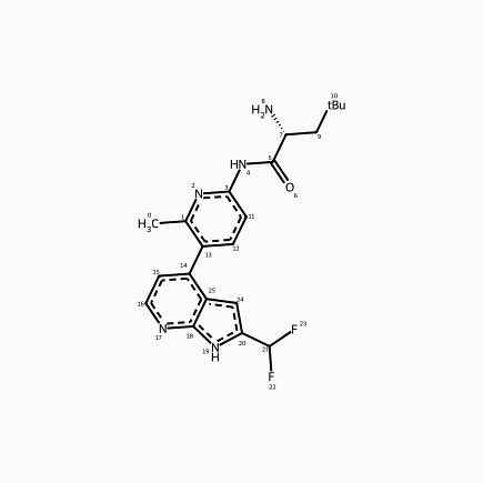 Cc1nc(NC(=O)[C@H](N)CC(C)(C)C)ccc1-c1ccnc2[nH]c(C(F)F)cc12